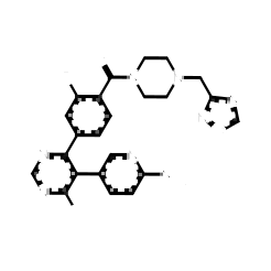 CCc1ncnc(-c2ccc(C(=O)N3CCN(Cc4ncon4)CC3)c(F)c2)c1-c1ccc(N)nc1